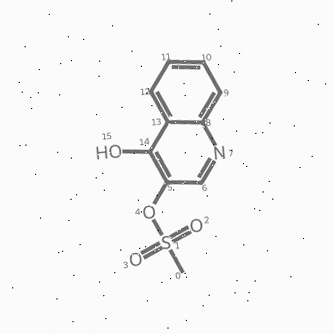 CS(=O)(=O)Oc1cnc2ccccc2c1O